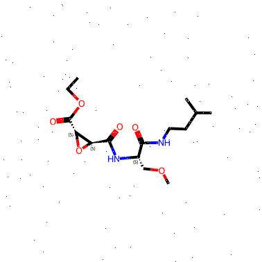 CCOC(=O)[C@H]1O[C@@H]1C(=O)N[C@@H](COC)C(=O)NCCC(C)C